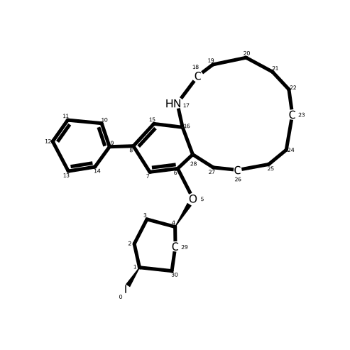 I[C@H]1CC[C@@H](OC2=CC(c3ccccc3)=CC3NCCCCCCCCCCC23)CC1